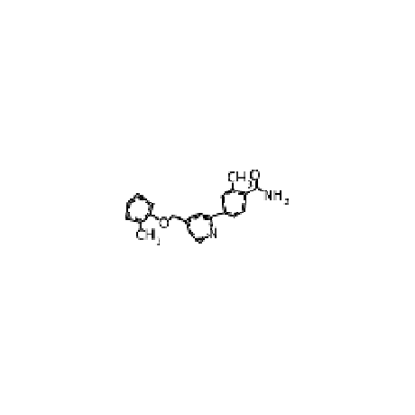 Cc1ccccc1OCc1ccnc(-c2ccc(C(N)=O)c(C)c2)c1